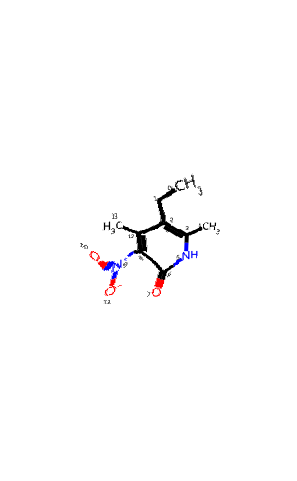 CCc1c(C)[nH]c(=O)c([N+](=O)[O-])c1C